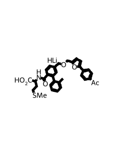 CSCCC(NC(=O)c1ccc(COCc2ccc(-c3ccc(C(C)=O)cc3)o2)cc1-c1ccccc1C)C(=O)O.[LiH]